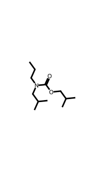 CCCN(CC(C)C)C(=O)OCC(C)C